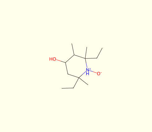 CCC1(C)CC(O)C(C)C(C)(CC)[NH+]1[O-]